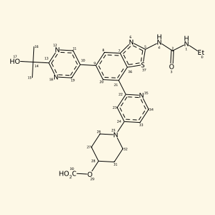 CCNC(=O)Nc1nc2cc(-c3cnc(C(C)(C)O)nc3)cc(-c3cc(N4CCC(OC(=O)O)CC4)ccn3)c2s1